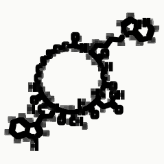 C[C@@H]1NC(=O)C(CC(=O)O)NC(=O)CNC(=O)[C@H](CCCCn2cc[n+]3ncccc23)NC(=O)CCSSCCNC(=O)[C@H](C)N(CCc2c[nH]c3ccccc23)C1=O